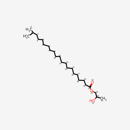 CC(C)CCCCCCCCCCCCCCCCCCC(=O)OCC(C)O